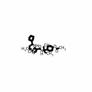 CCC(CC)(NC(=O)c1cnn2c1NC(c1ccccc1)CC2(C)C)c1ccc(OC(C)=O)cc1